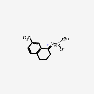 CC(C)(C)[S@@+]([O-])/N=C1\CCCc2ccc([N+](=O)[O-])cc21